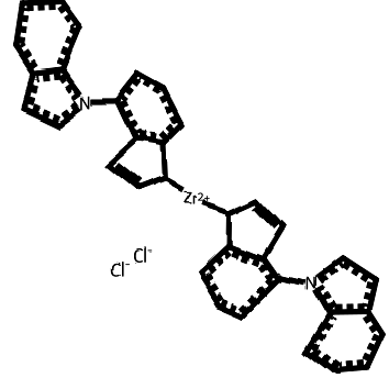 C1=C[CH]([Zr+2][CH]2C=Cc3c2cccc3-n2ccc3ccccc32)c2cccc(-n3ccc4ccccc43)c21.[Cl-].[Cl-]